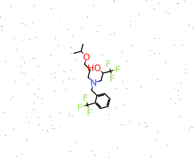 CC(C)OCCCN(Cc1ccccc1C(F)(F)F)CC(O)C(F)(F)F